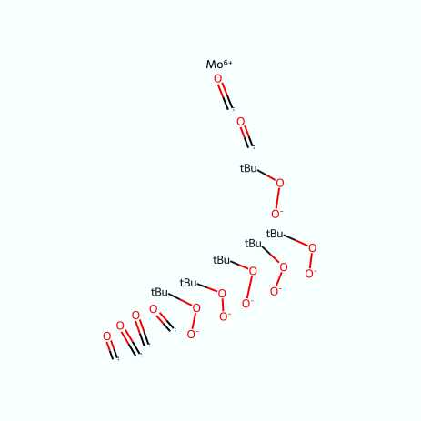 CC(C)(C)O[O-].CC(C)(C)O[O-].CC(C)(C)O[O-].CC(C)(C)O[O-].CC(C)(C)O[O-].CC(C)(C)O[O-].[C]=O.[C]=O.[C]=O.[C]=O.[C]=O.[C]=O.[Mo+6]